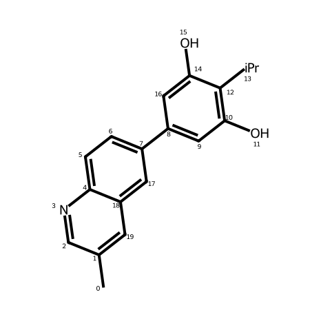 Cc1cnc2ccc(-c3cc(O)c(C(C)C)c(O)c3)cc2c1